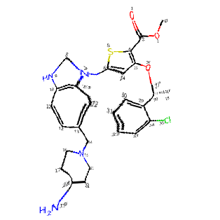 COC(=O)c1sc(N2CNc3ccc(CN4CCC(N)CC4)cc32)cc1O[C@H](C)c1ccccc1Cl